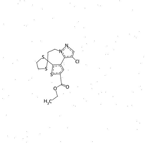 CCOC(=O)c1cc2c(s1)C1(CCn3ncc(Cl)c3-2)SCCS1